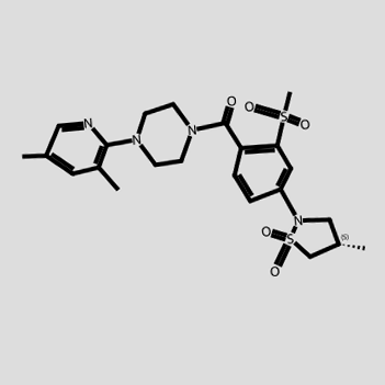 Cc1cnc(N2CCN(C(=O)c3ccc(N4C[C@H](C)CS4(=O)=O)cc3S(C)(=O)=O)CC2)c(C)c1